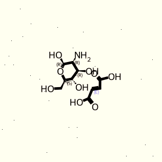 N[C@@H]1[C@@H](O)[C@H](O)[C@@H](CO)O[C@H]1O.O=C(O)/C=C/C(=O)O